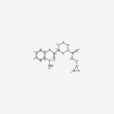 O=C(OCC1CO1)C1CCCN(C(=O)Cc2ccccc2CO)C1